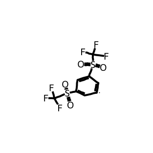 O=S(=O)(c1c[c]cc(S(=O)(=O)C(F)(F)F)c1)C(F)(F)F